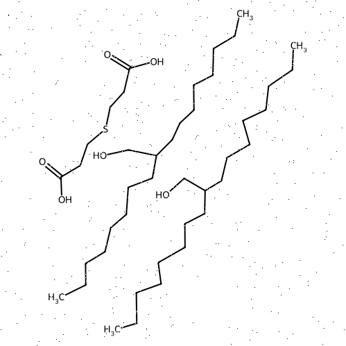 CCCCCCCCC(CO)CCCCCCCC.CCCCCCCCC(CO)CCCCCCCC.O=C(O)CCSCCC(=O)O